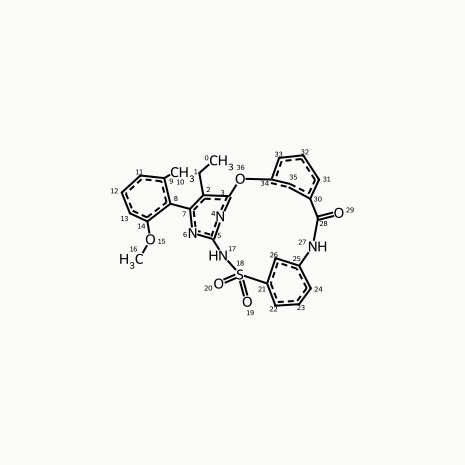 CCc1c2nc(nc1-c1c(C)cccc1OC)NS(=O)(=O)c1cccc(c1)NC(=O)c1cccc(c1)O2